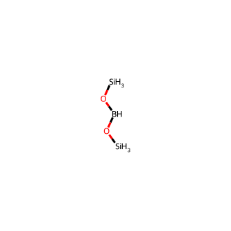 [SiH3]OBO[SiH3]